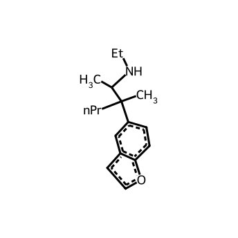 CCCC(C)(c1ccc2occc2c1)C(C)NCC